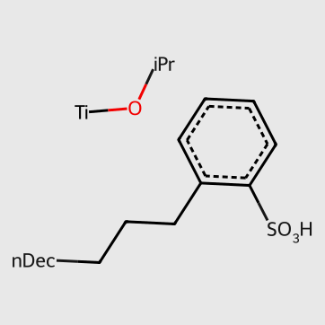 CC(C)[O][Ti].CCCCCCCCCCCCCc1ccccc1S(=O)(=O)O